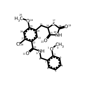 COc1ccccc1CNC(=O)c1cc(CC2SC(=O)NC2=O)c(OC)cc1Cl